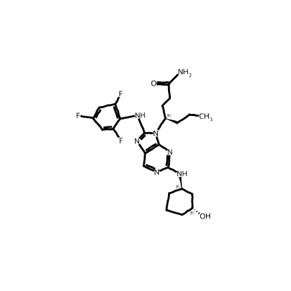 CCC[C@H](CCC(N)=O)n1c(Nc2c(F)cc(F)cc2F)nc2cnc(N[C@@H]3CCC[C@@H](O)C3)nc21